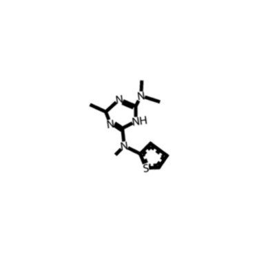 CC1N=C(N(C)C)NC(N(C)c2cccs2)=N1